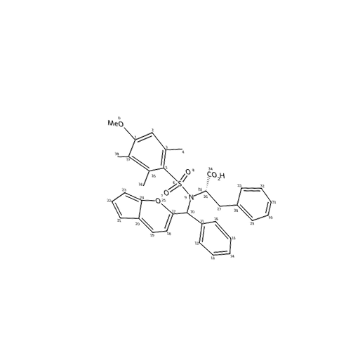 COc1cc(C)c(S(=O)(=O)N(C(c2ccccc2)c2ccc3cccc-3o2)[C@@H](Cc2ccccc2)C(=O)O)c(C)c1C